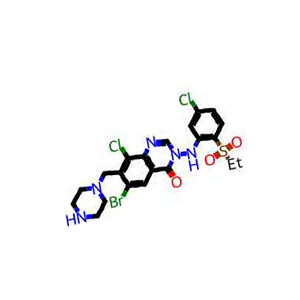 CCS(=O)(=O)c1ccc(Cl)cc1Nn1cnc2c(Cl)c(CN3CCNCC3)c(Br)cc2c1=O